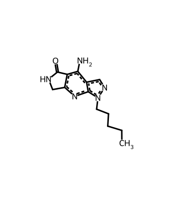 CCCCCn1ncc2c(N)c3c(nc21)CNC3=O